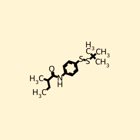 CCC(C)C(=O)Nc1ccc(SSC(C)(C)C)cc1